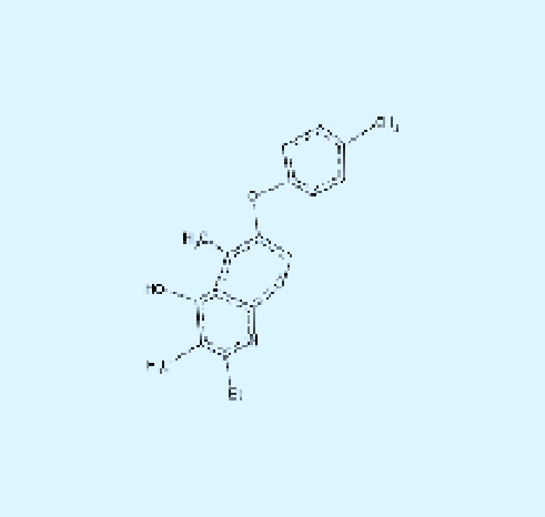 CCc1nc2ccc(Oc3ccc(C)cc3)c(C)c2c(O)c1C